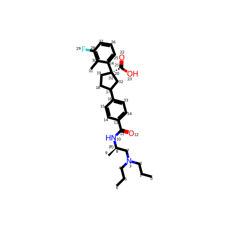 CCCN(CCC)C[C@@H](C)NC(=O)c1ccc(C2CC[C@@](C(=O)O)(c3cccc(F)c3C)C2)cc1